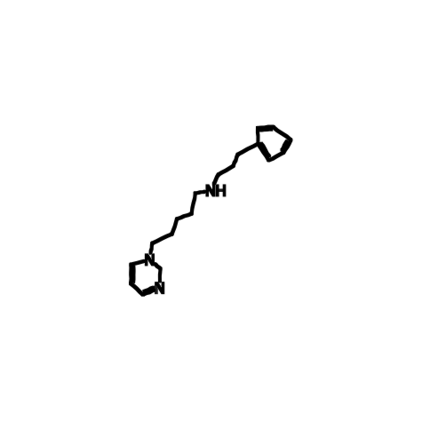 C1=CN(CCCCCNCCCc2ccccc2)CN=C1